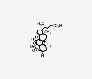 C[C@H](CCC(=O)O)[C@H]1CC[C@H]2[C@@H]3[C@@H]4CC5C[C@H](CC[C@]5(C)[C@H]3CC[C@]12C)OS(=O)(=O)O4